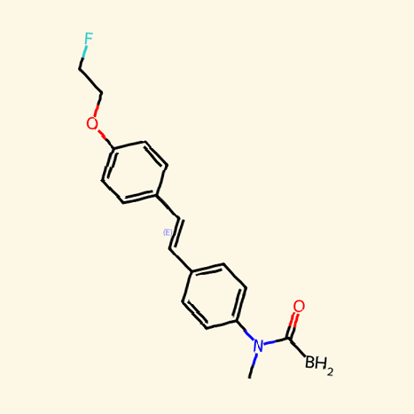 BC(=O)N(C)c1ccc(/C=C/c2ccc(OCCF)cc2)cc1